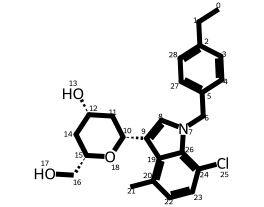 CCc1ccc(Cn2cc([C@H]3C[C@@H](O)C[C@@H](CO)O3)c3c(C)ccc(Cl)c32)cc1